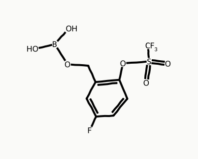 O=S(=O)(Oc1ccc(F)cc1COB(O)O)C(F)(F)F